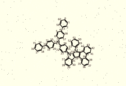 c1ccc(-c2ccc(N(c3ccc(-c4ccccc4)cc3)c3ccc(-n4c5ccccc5c5c6c7ccccc7c7ccccc7c6n(-c6ccccc6)c54)cc3)cc2)cc1